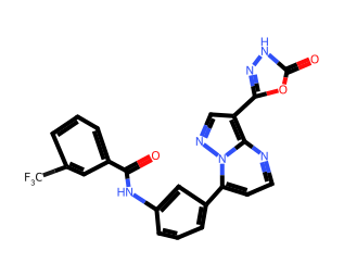 O=C(Nc1cccc(-c2ccnc3c(-c4n[nH]c(=O)o4)cnn23)c1)c1cccc(C(F)(F)F)c1